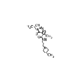 Cc1oc2ncn(CC(C)C)c(=O)c2c1C(=O)NCCCN1CCC(C)CC1